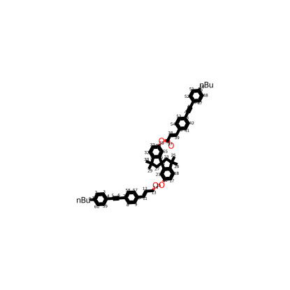 CCCCc1ccc(C#Cc2ccc(/C=C/COOc3ccc4c(c3)C3(CC4(C)C)CC(C)(C)c4ccc(OC(=O)/C=C/c5ccc(C#Cc6ccc(CCCC)cc6)cc5)cc43)cc2)cc1